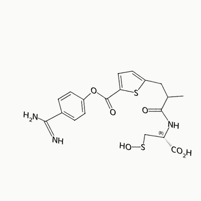 CC(Cc1ccc(C(=O)Oc2ccc(C(=N)N)cc2)s1)C(=O)N[C@@H](CSO)C(=O)O